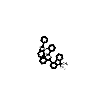 CC1(C)c2ccccc2-c2c(-c3nc(-c4ccccc4-n4c(-c5ccccc5)nc5ccccc54)nc4ccccc34)cccc21